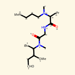 CCC(C)C(C(CC=O)OC)N(C)C(=O)CNC(=O)C(C(C)C)N(C)CCCNC